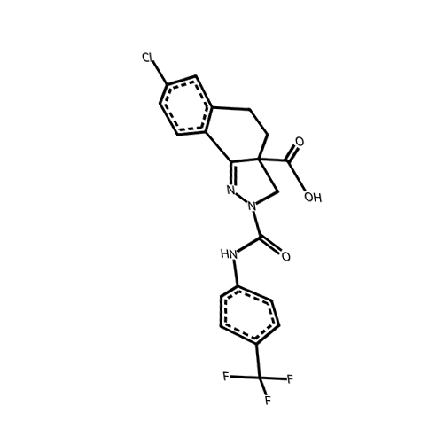 O=C(Nc1ccc(C(F)(F)F)cc1)N1CC2(C(=O)O)CCc3cc(Cl)ccc3C2=N1